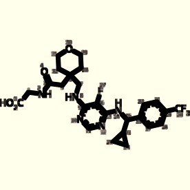 O=C(O)CNC(=O)CC1(CNc2ncnc(NC(c3ccc(C(F)(F)F)cc3)C3CC3)c2F)CCOCC1